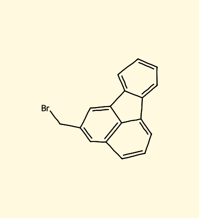 BrCc1cc2c3c(cccc3c1)-c1ccccc1-2